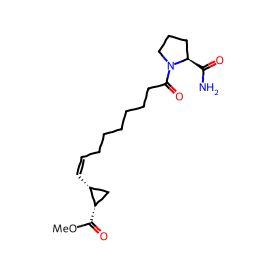 COC(=O)[C@H]1C[C@H]1/C=C\CCCCCCC(=O)N1CCC[C@H]1C(N)=O